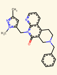 Cc1cc(Cn2c(=O)c3c(c4cccnc42)CCN(Cc2ccccc2)C3)n(C)n1